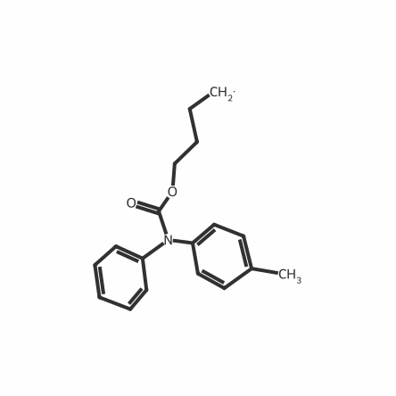 [CH2]CCCOC(=O)N(c1ccccc1)c1ccc(C)cc1